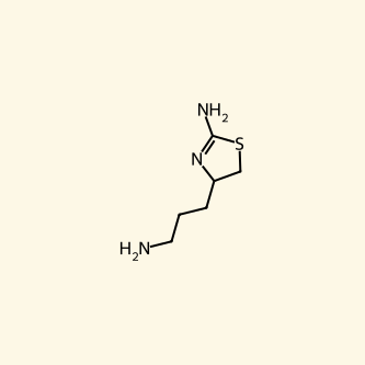 NCCCC1CSC(N)=N1